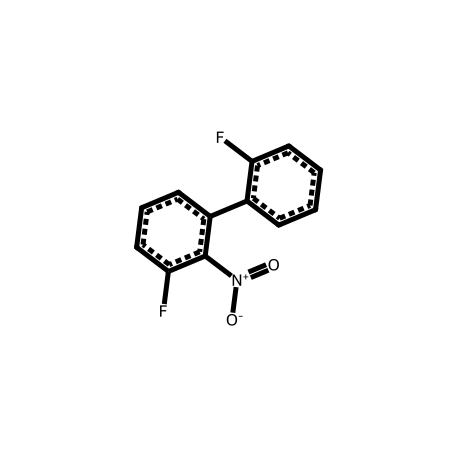 O=[N+]([O-])c1c(F)cccc1-c1ccccc1F